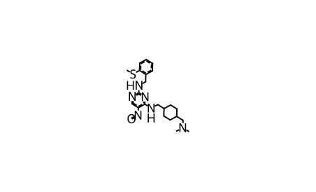 CSc1ccccc1CNc1ncc(N=O)c(NCC2CCC(CN(C)C)CC2)n1